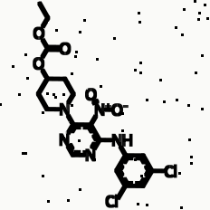 CCOC(=O)OC1CCN(c2ncnc(Nc3cc(Cl)cc(Cl)c3)c2[N+](=O)[O-])CC1